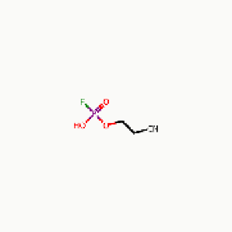 N#CCCOP(=O)(O)F